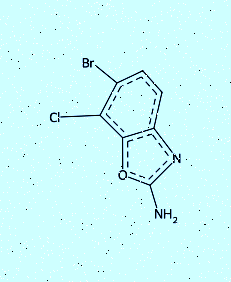 Nc1nc2ccc(Br)c(Cl)c2o1